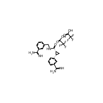 N=C(N)c1cccc(CNC(=O)[C@@H]2C[C@@H]2c2cccc(C(=N)N)c2)c1.O=C(O)C(F)(F)F.O=C(O)C(F)(F)F